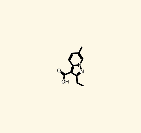 CCc1nn2cc(C)ccc2c1C(=O)O